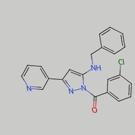 O=C(c1cccc(Cl)c1)n1nc(-c2cccnc2)cc1NCc1ccccc1